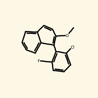 COc1ccc2ccccc2c1-c1c(F)cccc1Cl